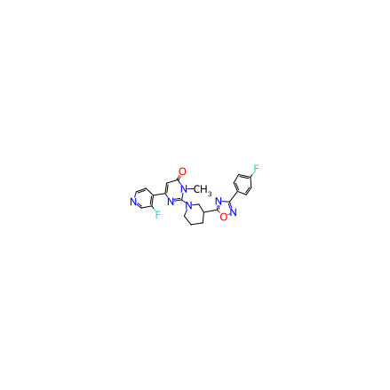 Cn1c(N2CCCC(c3nc(-c4ccc(F)cc4)no3)C2)nc(-c2ccncc2F)cc1=O